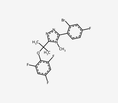 Cn1c(-c2ccc(F)cc2Br)nnc1C(C)(C)Oc1c(F)cc(F)cc1F